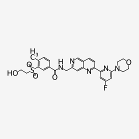 Cc1ccc(C(=O)NCc2cc3nc(-c4cc(F)cc(N5CCOCC5)n4)ccc3cn2)cc1S(=O)(=O)CCO